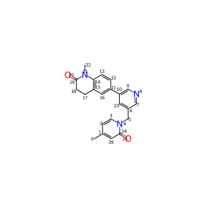 Cc1ccn(Cc2cncc(-c3ccc4c(c3)CCC(=O)N4C)c2)c(=O)c1